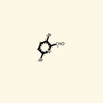 O=[C]c1nc(Br)ccc1Br